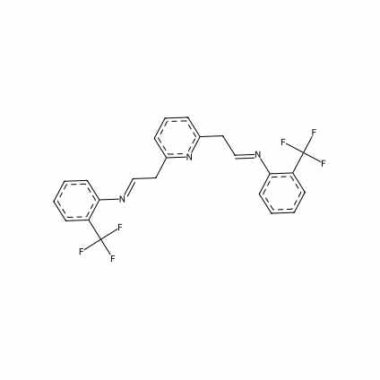 FC(F)(F)c1ccccc1N=CCc1cccc(CC=Nc2ccccc2C(F)(F)F)n1